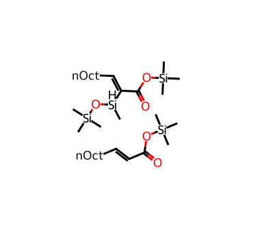 CCCCCCCCC=C(C(=O)O[Si](C)(C)C)[SiH](C)O[Si](C)(C)C.CCCCCCCCC=CC(=O)O[Si](C)(C)C